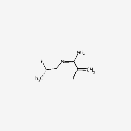 C=C(I)/C(N)=N\C[C@H](C)F